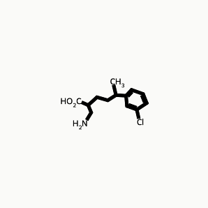 CC(CCC(CN)C(=O)O)c1cccc(Cl)c1